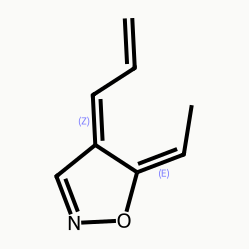 C=C/C=c1/cno/c1=C/C